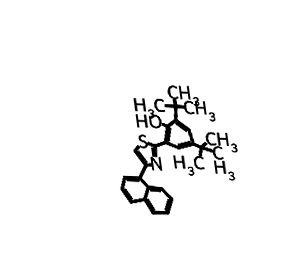 CC(C)(C)c1cc(-c2nc(-c3cccc4ccccc34)cs2)c(O)c(C(C)(C)C)c1